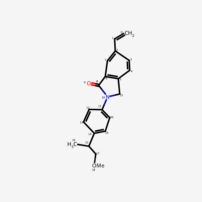 C=Cc1ccc2c(c1)C(=O)N(c1ccc(C(C)COC)cc1)C2